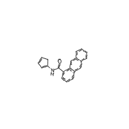 O=C(NC1=CC=CC1)c1cccc2cc3ccccc3cc12